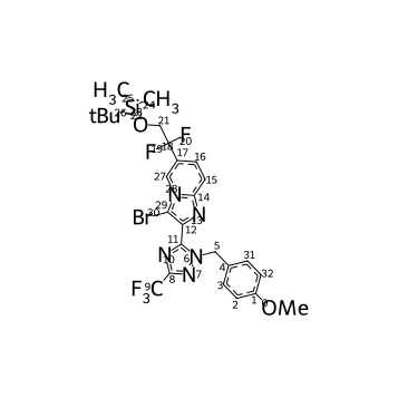 COc1ccc(Cn2nc(C(F)(F)F)nc2-c2nc3ccc(C(F)(F)CO[Si](C)(C)C(C)(C)C)cn3c2Br)cc1